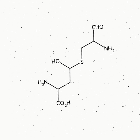 NC(C=O)CSC(O)CC(N)C(=O)O